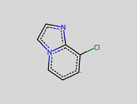 Clc1[c]ccn2ccnc12